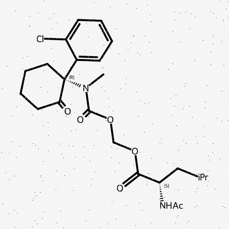 CC(=O)N[C@@H](CC(C)C)C(=O)OCOC(=O)N(C)[C@@]1(c2ccccc2Cl)CCCCC1=O